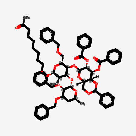 COC(=O)CCCCCCCCO[C@@H]1O[C@H](COCc2ccccc2)[C@@H](O[C@@H]2O[C@@H]3COC(c4ccccc4)O[C@@H]3[C@H](OC(=O)c3ccccc3)[C@H]2OC(=O)c2ccccc2)[C@H](O[C@@H]2O[C@@H](C)C[C@@H](OCc3ccccc3)[C@@H]2OCc2ccccc2)[C@H]1NC(C)=O